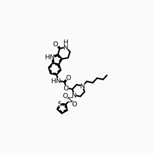 CCCCCN1CCN(S(=O)(=O)c2cccs2)C(OC(=O)Nc2ccc3[nH]c4c(c3c2)CCNC4=O)C1